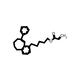 C=CC(=O)OCCCCCc1cccc2c1/C=C(/c1ccccc1)CCCC2